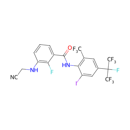 N#CCNc1cccc(C(=O)Nc2c(I)cc(C(F)(C(F)(F)F)C(F)(F)F)cc2C(F)(F)F)c1F